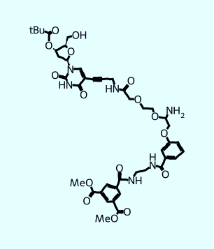 COC(=O)c1cc(C(=O)NCCNC(=O)c2cccc(OCC(N)OCCOCC(=O)NCC#Cc3cn([C@H]4C[C@H](OC(=O)C(C)(C)C)[C@@H](CO)O4)c(=O)[nH]c3=O)c2)cc(C(=O)OC)c1